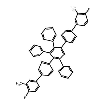 Cc1cc(-c2ccc(-c3c(-c4ccccc4)cc(-c4ccc(-c5ccc(F)c(C(F)(F)F)c5)cc4)c(-c4ccccc4)c3-c3ccccc3)cc2)ccc1F